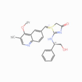 CC(C)Oc1c(C#N)cnc2ccc(/C=S3/CC(=O)N=C3N[C@@H](CO)c3ccccc3)cc12